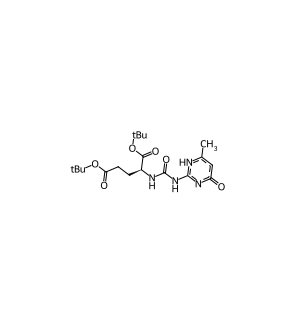 Cc1cc(=O)nc(NC(=O)N[C@@H](CCC(=O)OC(C)(C)C)C(=O)OC(C)(C)C)[nH]1